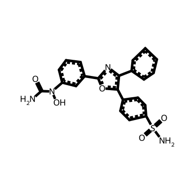 NC(=O)N(O)c1cccc(-c2nc(-c3ccccc3)c(-c3ccc(S(N)(=O)=O)cc3)o2)c1